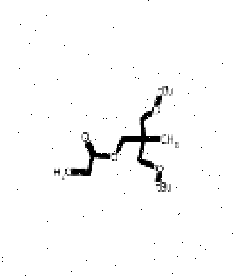 C=CC(=O)OCC(C)(COC(C)(C)C)COC(C)(C)C